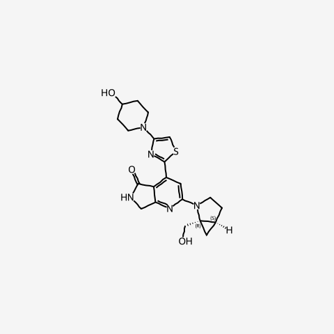 O=C1NCc2nc(N3CC[C@H]4C[C@]43CO)cc(-c3nc(N4CCC(O)CC4)cs3)c21